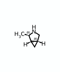 C[C@H]1NC[C@@H]2C[C@@H]21